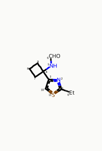 CCc1nc(C2(NC=O)CCC2)cs1